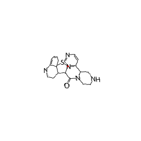 O=C(C1CSC23CC=CC=C2N=CCC13)N1CCNCC1c1ccncn1